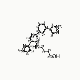 Cn1cc(-c2cccc(-c3ncc(-c4ccn(C)n4)c(NCCCCO)n3)c2)cn1